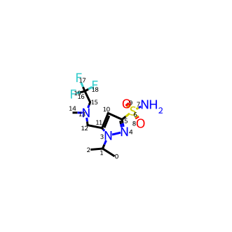 CC(C)n1nc(S(N)(=O)=O)cc1CN(C)CC(F)(F)F